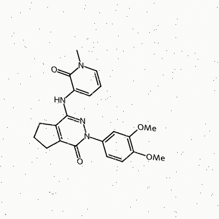 COc1ccc(-n2nc(Nc3cccn(C)c3=O)c3c(c2=O)CCC3)cc1OC